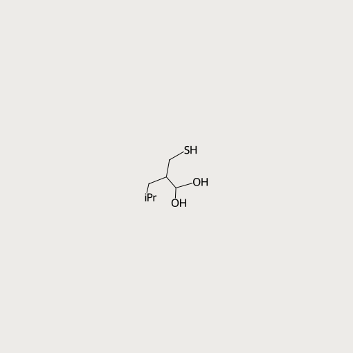 CC(C)CC(CS)C(O)O